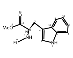 CCN[C@H](Cc1c[nH]c2ccccc12)C(=O)OC